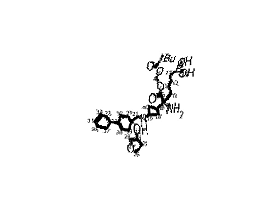 CC(C)(C)C(=O)OCOC(=O)[C@](N)(CCCCB(O)O)C1CC(NCC2(OC3CCOC3)C=CC(c3ccccc3)=CC2)C1